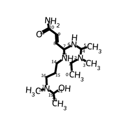 CCN(C)C(C)NC(/C=C/C(N)=O)NCCCN(C)C(C)O